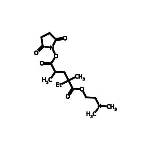 CCC(C)(CC(C)C(=O)ON1C(=O)CCC1=O)C(=O)OCCN(C)C